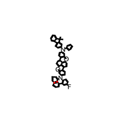 CC1(C)c2ccccc2-c2ccc(N(c3ccccc3)c3ccc4c(c3)Oc3ccc5c6c(ccc-4c36)Oc3cc(N(c4ccccc4)c4ccc(F)cc4-c4ccccc4)ccc3-5)cc21